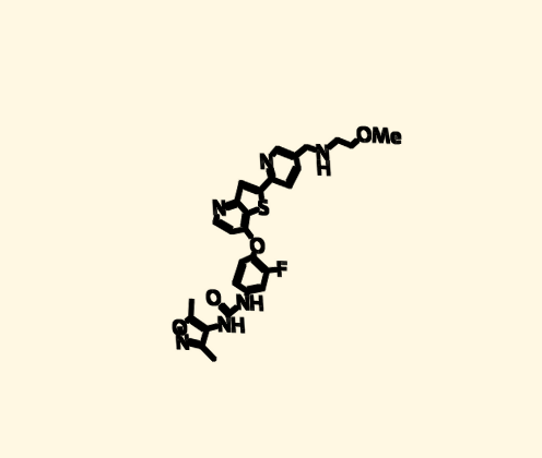 COCCNCc1ccc(-c2cc3nccc(Oc4ccc(NC(=O)Nc5c(C)noc5C)cc4F)c3s2)nc1